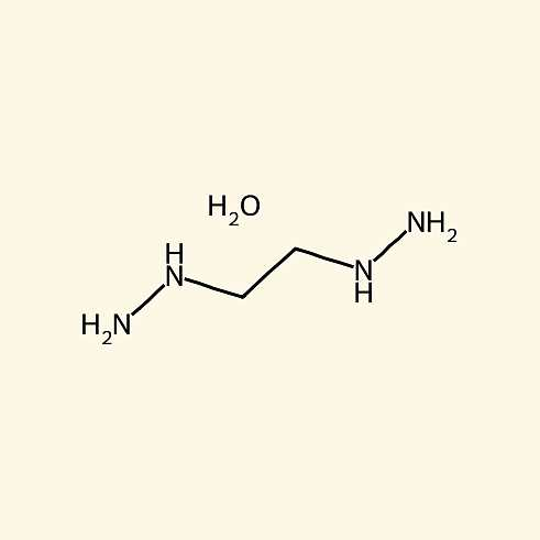 NNCCNN.O